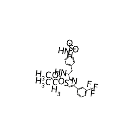 CC(C)(C)OC(=O)N[C@@H](Cc1ccc(N[SH](=O)=O)cc1)c1nc(-c2cccc(C(F)(F)F)c2)cs1